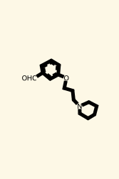 O=Cc1cccc(OCCCN2CCCCC2)c1